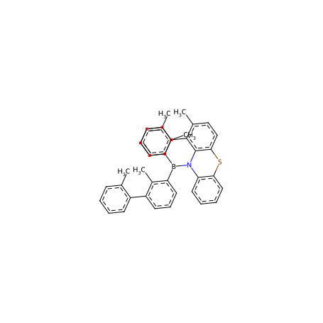 CC1=CC=CCC1c1c(C)ccc2c1N(B(c1ccccc1C)c1cccc(-c3ccccc3C)c1C)c1ccccc1S2